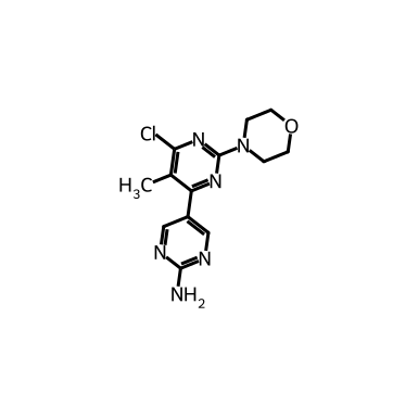 Cc1c(Cl)nc(N2CCOCC2)nc1-c1cnc(N)nc1